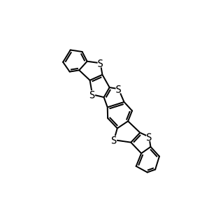 c1ccc2c(c1)sc1c3cc4sc5c(sc6c7ccccc7sc65)c4cc3sc21